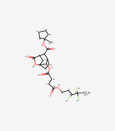 CCC1(OC(=O)C2C3CC4(CCC2C4OC(=O)CCC(=O)OCCC(F)C(F)(F)S(=O)(=O)O)OC3=O)CCCC1